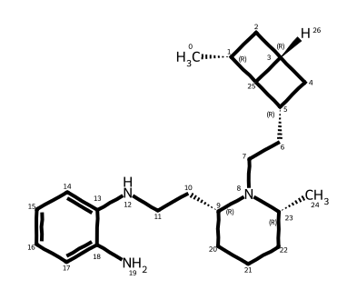 C[C@@H]1C[C@@H]2C[C@H](CCN3[C@@H](CCNc4ccccc4N)CCC[C@H]3C)C21